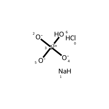 Cl.[NaH].[O-][I+3]([O-])([O-])O